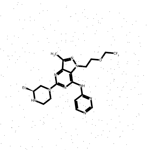 CC[C@H]1CN(c2nc(Nc3ccncn3)c3c(n2)c(C)nn3CCOCC(F)(F)F)CCN1